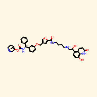 O=C(N[C@@H](c1ccccc1)c1cccc(OCc2coc(C(=O)NCCCCNCC(O)c3ccc(O)c4[nH]c(=O)ccc34)c2)c1)OC1CN2CCC1CC2